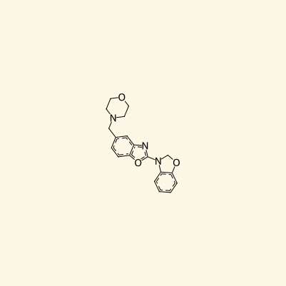 c1ccc2c(c1)OCN2c1nc2cc(CN3CCOCC3)ccc2o1